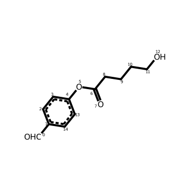 O=Cc1ccc(OC(=O)CCCCO)cc1